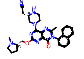 Cc1nc2c(N3CCN[C@@H](CC#N)C3)nc(OC[C@@H]3CCCN3C)nc2c(=O)n1-c1cccc2ccccc12